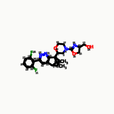 CC1(C)C2CCC1(C1CN(C3=NC(CO)CO3)CCO1)c1nnc(-c3c(F)cccc3F)cc12